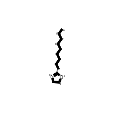 C1=NCCO1.CCCCCCCCC